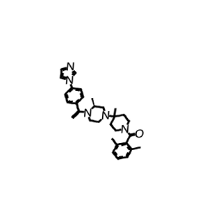 C=C(c1ccc(-n2ccnc2)cc1)N1CCN(C2(C)CCN(C(=O)c3c(C)cccc3C)CC2)C[C@@H]1C